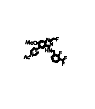 COc1cc2nc(CF)nc(NCc3cccc(C(F)F)c3F)c2cc1P1CCN(C(C)=O)CC1